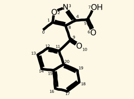 Cc1onc(C(=O)O)c1C(=O)c1cccc2ccccc12